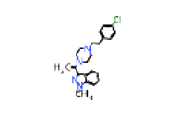 C=C(c1nn(C)c2ccccc12)N1CCN(CCc2ccc(Cl)cc2)CC1